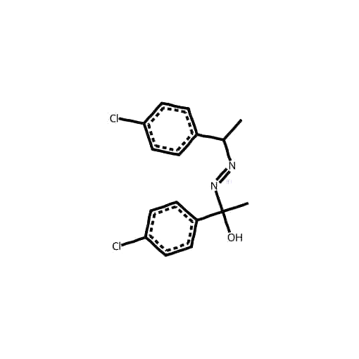 CC(/N=N/C(C)(O)c1ccc(Cl)cc1)c1ccc(Cl)cc1